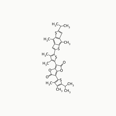 Cc1c(C2=C3OC(=O)C(c4sc(C(C)C)c(C)c4C)=C3OC2=O)sc(-c2cc3c(C)c4sc(C(C)C)cc4c(C)c3s2)c1C